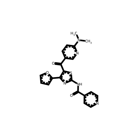 CN(C)c1ccc(C(=O)c2sc(NC(=O)c3ccncc3)nc2-c2ccco2)cn1